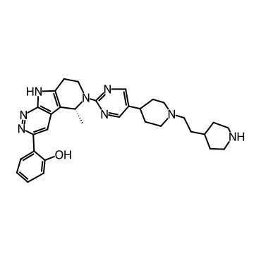 C[C@@H]1c2c([nH]c3nnc(-c4ccccc4O)cc23)CCN1c1ncc(C2CCN(CCC3CCNCC3)CC2)cn1